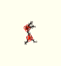 CCCCOP(=O)(OCCCC)OCCCCOP(=O)(OCCCC)OCCCC